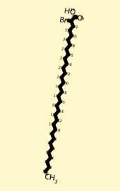 CCCCCCCCCCCCCCCCCCCCCCCCCCCCCCCCCC(Br)C(=O)O